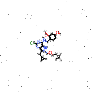 COc1ccc(CN(C)c2nc(Cl)nc3c(CC4CC4)n(COCC[Si](C)(C)C)nc23)c(OC)c1